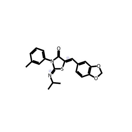 Cc1cccc(N2C(=O)/C(=C/c3ccc4c(c3)OCO4)S/C2=N\C(C)C)c1